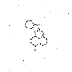 O=c1c2c([N+](=O)[O-])cccc2nc2[nH]c3ccccc3n12